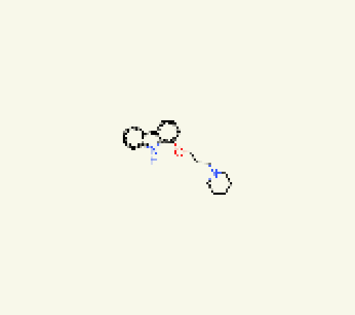 c1ccc2c(c1)[nH]c1c(OCCCN3CCCCC3)cccc12